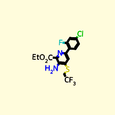 CCOC(=O)c1nc(-c2ccc(Cl)cc2F)cc(SCC(F)(F)F)c1N